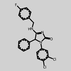 O=C1N=C(NCc2ccc(F)cc2)C(c2ccccc2)N1c1ccc(Cl)c(Cl)c1